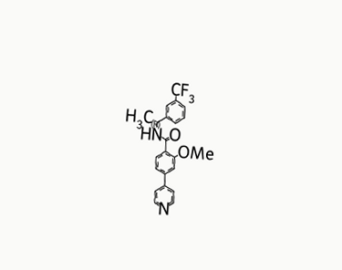 COc1cc(-c2ccncc2)ccc1C(=O)N[C@H](C)c1cccc(C(F)(F)F)c1